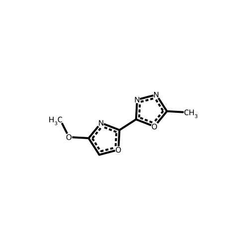 COc1coc(-c2nnc(C)o2)n1